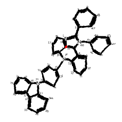 c1ccc(-c2nnc(-c3ccccc3N(c3ccccc3)c3ccc(-n4c5ccccc5c5ccccc54)cc3)n2-c2ccccc2)cc1